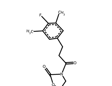 Cc1cc(CCC(=O)N2CCOC2=O)cc(C)c1F